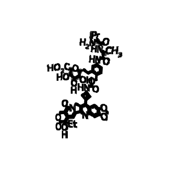 CC[C@@]1(O)C(=O)OCc2c1cc1n(c2=O)Cc2c-1nc1cc3c(cc1c2C12CC(NC(=O)OCc4ccc(NC(=O)[C@H](C)NC(=O)[C@@H](N)C(C)C)cc4CC[C@@H]4O[C@H](C(=O)O)[C@@H](O)[C@H](O)[C@H]4O)(C1)C2)OCO3